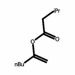 C=C(CCCC)OC(=O)CC(C)C